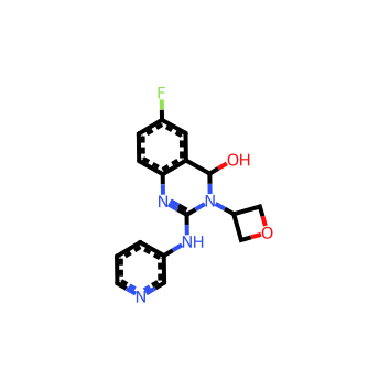 OC1c2cc(F)ccc2N=C(Nc2cccnc2)N1C1COC1